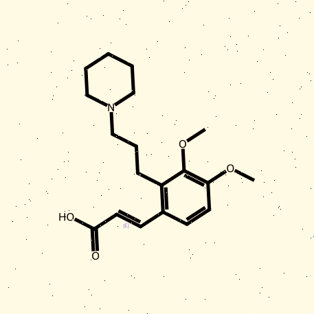 COc1ccc(/C=C/C(=O)O)c(CCCN2CCCCC2)c1OC